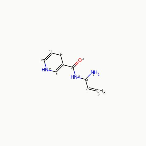 C=CC(N)NC(=O)C1=CNC=CC1